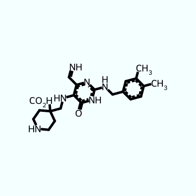 Cc1ccc(CNc2nc(C=N)c(NCC3(C(=O)O)CCNCC3)c(=O)[nH]2)cc1C